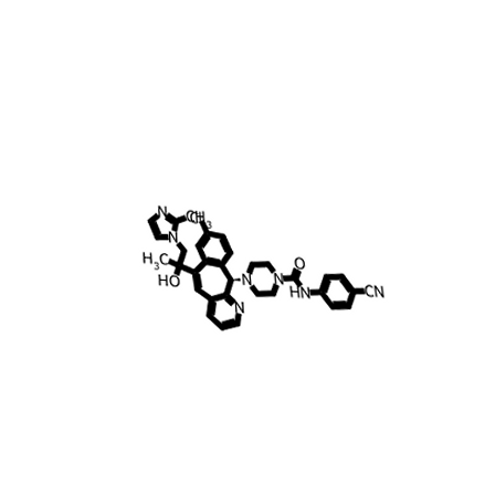 Cc1nccn1CC(C)(O)C1=Cc2cccnc2[C@@H](N2CCN(C(=O)Nc3ccc(C#N)cc3)CC2)c2ccc(Cl)cc21